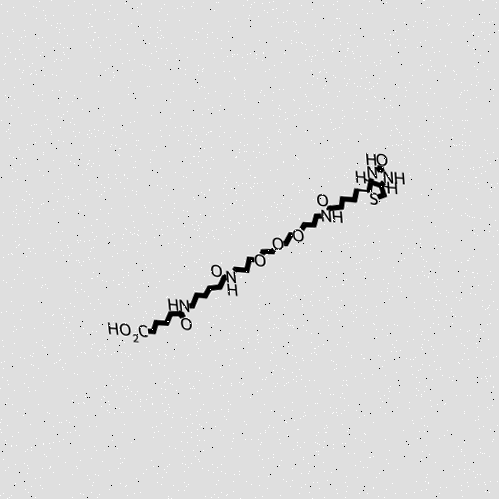 O=C(O)CCCCC(=O)NCCCCCC(=O)NCCCOCCOCCOCCCNC(=O)CCCC[C@@H]1SC[C@@H]2NC(=O)N[C@@H]21